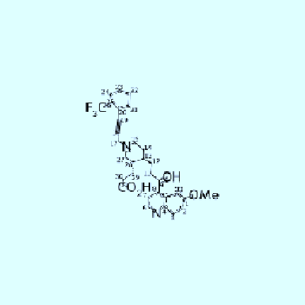 COc1ccc2nccc([C@H](O)CC[C@@H]3CCN(CC#Cc4ccccc4C(F)(F)F)C[C@H]3CCC(=O)O)c2c1